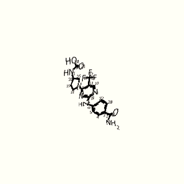 NC(=O)c1ccc(Nc2ncc(C(F)(F)F)c(N3CCC(NC(=O)O)C3)n2)cc1